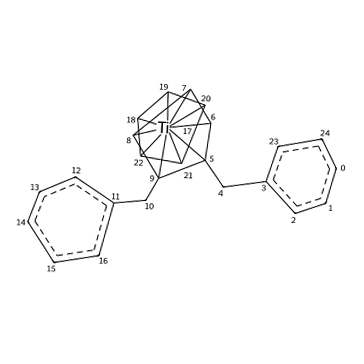 c1ccc(C[C]23[CH]4[CH]5[CH]6[C]2(Cc2ccccc2)[Ti]54632789[CH]3[CH]2[CH]7[CH]8[CH]39)cc1